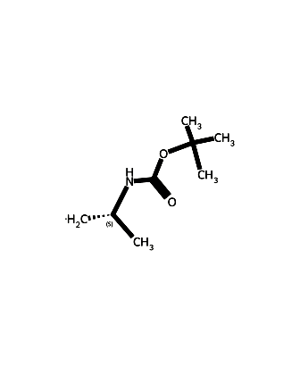 [CH2][C@@H](C)NC(=O)OC(C)(C)C